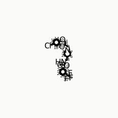 O=S(=O)(NCC1CCN(CC2COc3ccc(Cl)cc3O2)CC1)c1cccc(C(F)(F)F)c1